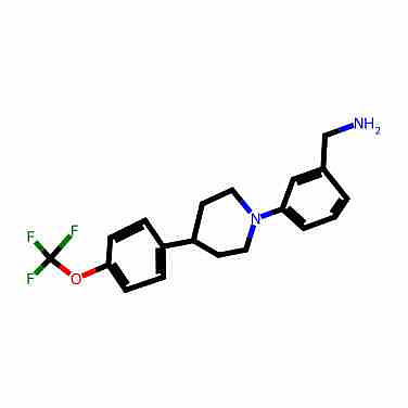 NCc1cccc(N2CCC(c3ccc(OC(F)(F)F)cc3)CC2)c1